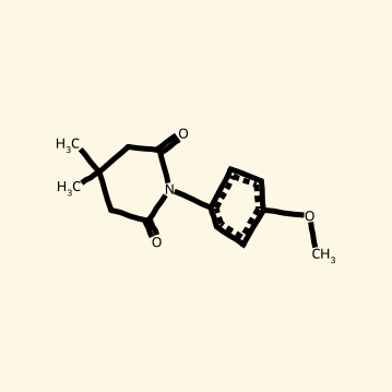 COc1ccc(N2C(=O)CC(C)(C)CC2=O)cc1